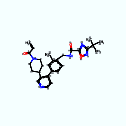 C=CC(=O)N1CCC(c2cnccc2-c2ccc(CNC(=O)c3nc(C(C)(C)C)no3)c(C)c2)CC1